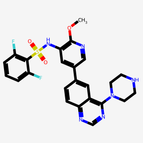 COc1ncc(-c2ccc3ncnc(N4CCNCC4)c3c2)cc1NS(=O)(=O)c1c(F)cccc1F